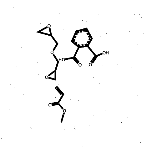 C(OCC1CO1)C1CO1.C=CC(=O)OC.O=C(O)c1ccccc1C(=O)O